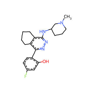 CN1CCCC(Nc2nnc(-c3ccc(F)cc3O)c3c2CCCC3)C1